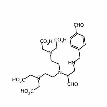 O=Cc1ccc(CNCC(C=O)N(CCN(CC(=O)O)CC(=O)O)CCN(CC(=O)O)CC(=O)O)cc1